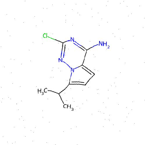 CC(C)c1ccc2c(N)nc(Cl)nn12